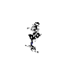 Cc1nn2cccnc2c1C(=O)NC(C)c1cc2cccc(/C=C/c3cnc(C)n3C)c2c(=O)n1-c1ccccc1